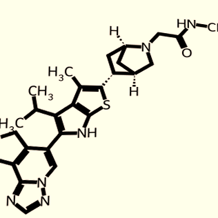 CNC(=O)CN1C[C@@H]2C[C@H]1C[C@H]2c1sc2[nH]c(-c3cn4ncnc4c4c3COC4)c(C(C)C)c2c1C